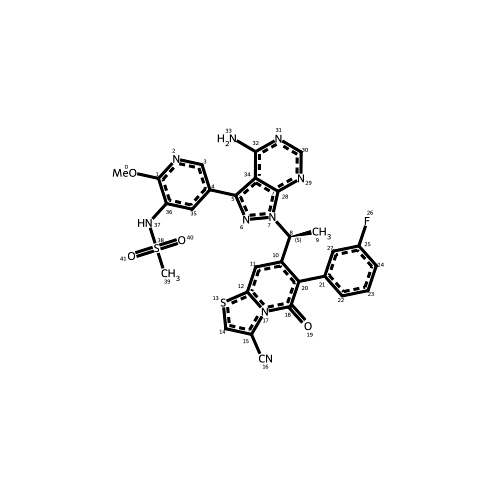 COc1ncc(-c2nn([C@@H](C)c3cc4scc(C#N)n4c(=O)c3-c3cccc(F)c3)c3ncnc(N)c23)cc1NS(C)(=O)=O